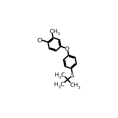 Cc1cc(Oc2ccc(SC(C)(C)C)cc2)ccc1Cl